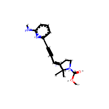 CNc1cccc(C#C/C=C2\CCN(C(=O)OC)C2(C)C)n1